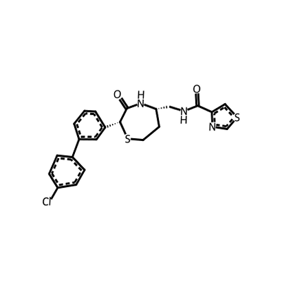 O=C(NC[C@@H]1CCS[C@H](c2cccc(-c3ccc(Cl)cc3)c2)C(=O)N1)c1cscn1